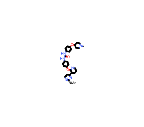 CNc1nccc(-c2cccnc2Oc2ccc(NC(=O)Nc3ccc(OC4CCN(C)CC4)cc3)cc2)n1